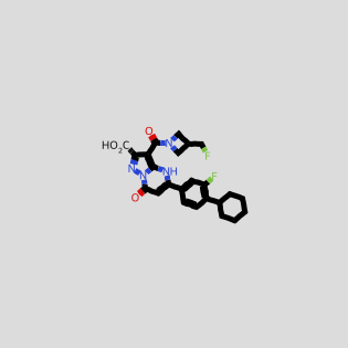 O=C(O)c1nn2c(=O)cc(-c3ccc(C4CCCCC4)c(F)c3)[nH]c2c1C(=O)N1CC(CF)C1